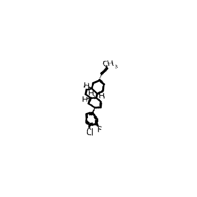 CC=C[C@@H]1CC[C@H]2[C@H](CC[C@H]3C[C@H](c4ccc(Cl)c(F)c4)CC[C@@H]32)C1